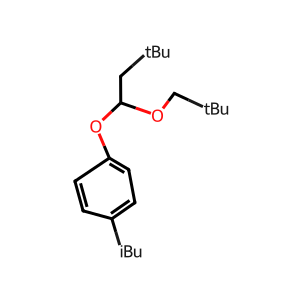 CCC(C)c1ccc(OC(CC(C)(C)C)OCC(C)(C)C)cc1